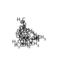 C=CC(=O)OCOC(=O)NCC1(C)CC(n2c(=O)n(C3CC(C)(C)CC(C)(CNC(=O)OC)C3)c(=O)n(C3CC(C)(C)CC(C)(CNC(=O)OCOC(=O)C=C)C3)c2=O)CC(C)(C)C1